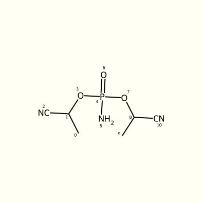 CC(C#N)OP(N)(=O)OC(C)C#N